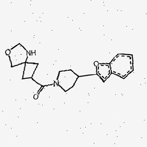 O=C(C1CC2(COCN2)C1)N1CCC(c2cc3ccccc3o2)CC1